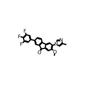 COc1cc2c(cc1-n1cnc(C)c1)-c1ccc(-c3cc(F)c(F)c(F)c3)cc1C2=O